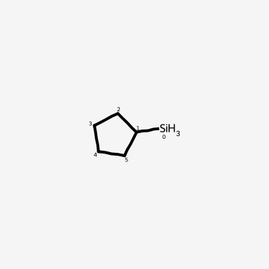 [SiH3]C1CCCC1